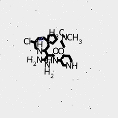 CN(C)CCOC1CCNCC1NC(=O)C(C(N)N)C1CC2(/C=C\C(Cl)CN1)CCCC2